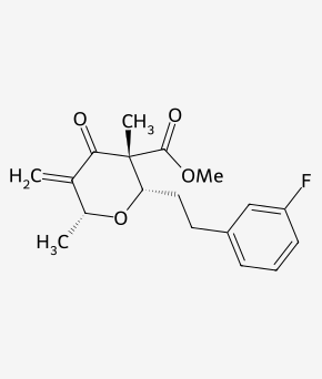 C=C1C(=O)[C@](C)(C(=O)OC)[C@H](CCc2cccc(F)c2)O[C@@H]1C